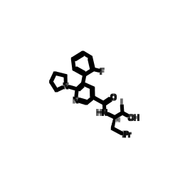 CC(C)C[C@@H](NC(=O)c1cnc(N2CCCC2)c(-c2ccccc2F)c1)C(O)I